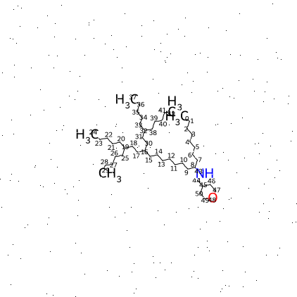 CCCCCCCCC(CCCCCCCC(CCC(CCCCC)CCCCC)CCC(CCCCC)CCCCC)NCC1CCOCC1